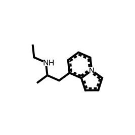 CCNC(C)Cc1cccn2cccc12